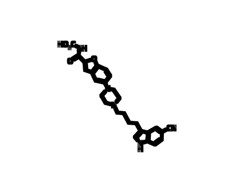 N#Cc1ccc2[nH]cc(CCCCN3CCN(c4ccc5oc(C(=O)NC(=O)O)cc5c4)CC3)c2c1